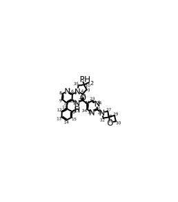 CC1(P)CCN(c2nccc(-c3ccccc3F)c2NC(=O)c2cnc(N3CC4(CCO4)C3)nc2)C1